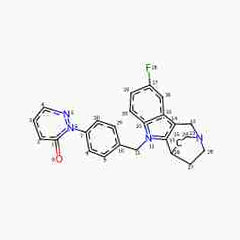 O=c1cccnn1-c1ccc(Cn2c3c(c4cc(F)ccc42)CN2CCC3CC2)cc1